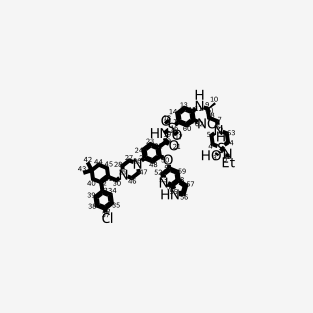 CCN=[SH]1(O)CCN(CC[C@H](C)Nc2ccc(S(=O)(=O)NC(=O)c3ccc(N4CCN(CC5=C(c6ccc(Cl)cc6)CC(C)(C)CC5)CC4)cc3Oc3cnc4[nH]ccc4c3)cc2[N+](=O)[O-])CC1